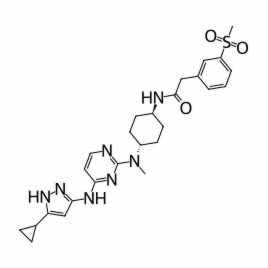 CN(c1nccc(Nc2cc(C3CC3)[nH]n2)n1)[C@H]1CC[C@H](NC(=O)Cc2cccc(S(C)(=O)=O)c2)CC1